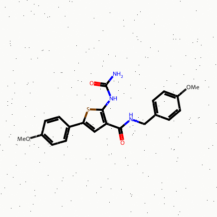 COc1ccc(CNC(=O)c2cc(-c3ccc(OC)cc3)sc2NC(N)=O)cc1